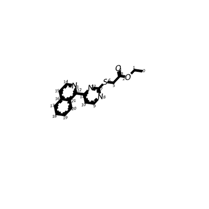 CCOC(=O)CSc1nccc(-c2nccc3ccccc23)n1